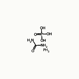 NC(N)=O.O=P(O)(O)O.P